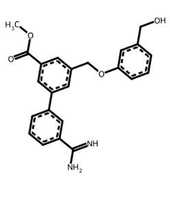 COC(=O)c1cc(COc2cccc(CO)c2)cc(-c2cccc(C(=N)N)c2)c1